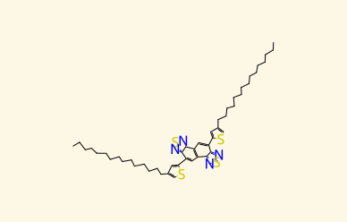 CCCCCCCCCCCCCCCc1csc(-c2cc3c(cc(-c4cc(CCCCCCCCCCCCCCC)cs4)c4nsnc43)c3nsnc23)c1